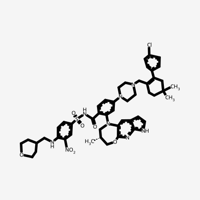 C[C@H]1COc2nc3[nH]ccc3cc2N(c2cc(N3CCN(CC4=C(c5ccc(Cl)cc5)CC(C)(C)CC4)CC3)ccc2C(=O)NS(=O)(=O)c2ccc(NCC3CCOCC3)c([N+](=O)[O-])c2)C1